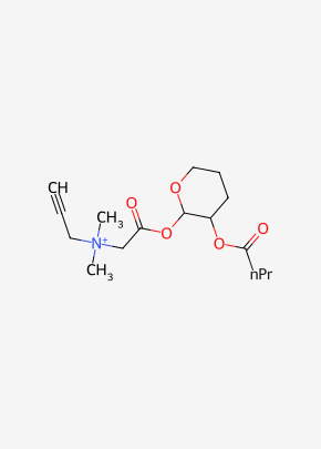 C#CC[N+](C)(C)CC(=O)OC1OCCCC1OC(=O)CCC